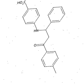 Cc1ccc(C(=O)CC(Nc2ccc(C(=O)O)cc2)c2ccccc2)cc1